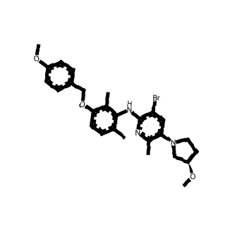 COc1ccc(COc2ccc(C)c(Nc3nc(C)c(N4CC[C@@H](OC)C4)cc3Br)c2C)cc1